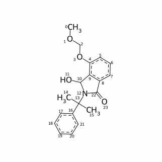 COCOc1cccc2c1C(O)N(C(C)(C)c1ccccc1)C2=O